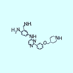 N=Cc1cc(Nc2ccnc(-c3cccc(OCC4CCNCC4)c3)n2)ccc1N